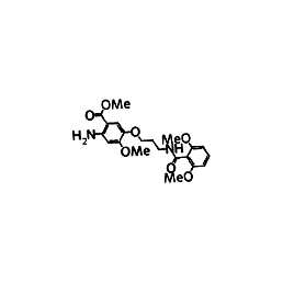 COC(=O)c1cc(OCCCNC(=O)c2c(OC)cccc2OC)c(OC)cc1N